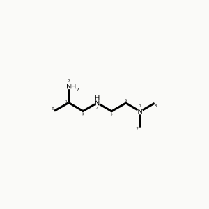 CC(N)CNCCN(C)C